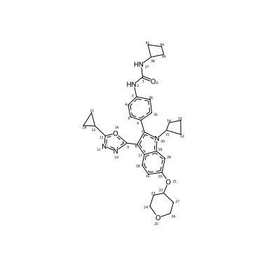 O=C(Nc1ccc(-c2c(-c3nnc(C4CC4)o3)c3ccc(OC4CCOCC4)cc3n2C2CCC2)cc1)NC1CCC1